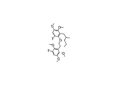 CCCC(C)Cc1c(OCCc2c(OC)c(F)cc(OC)c2OC)c(F)cc(OC)c1OC